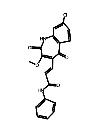 COc1c(C=CC(=O)Nc2ccccc2)c(=O)c2ccc(Cl)cc2[nH]c1=O